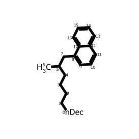 CCCCCCCCCCCCCCC(C)Cc1cccc2ccccc12